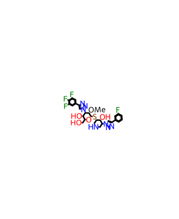 COC1C(SC2CNCC(n3cc(-c4cccc(F)c4)nn3)C2O)OC(CO)C(O)C1n1cc(-c2cc(F)c(F)c(F)c2)nn1